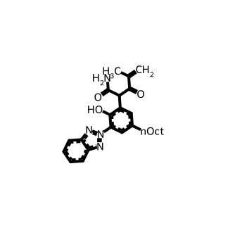 C=C(C)C(=O)C(C(N)=O)c1cc(CCCCCCCC)cc(-n2nc3ccccc3n2)c1O